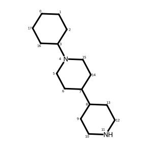 C1CCC(N2CCC(C3CCNCC3)CC2)CC1